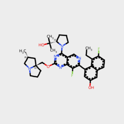 CCc1c(F)ccc2cc(O)cc(-c3ncc4c(N5CCC[C@H]5C(C)(C)O)nc(OC[C@@]56CCCN5C[C@H](C)C6)nc4c3F)c12